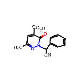 Cc1cc(C(=O)O)c(=O)n(C(C#N)c2ccccc2)n1